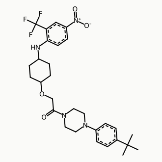 CC(C)(C)c1ccc(N2CCN(C(=O)COC3CCC(Nc4ccc([N+](=O)[O-])cc4C(F)(F)F)CC3)CC2)cc1